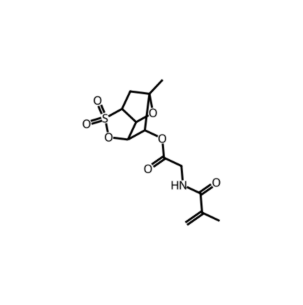 C=C(C)C(=O)NCC(=O)OC1C2OS(=O)(=O)C3CC1(C)OC23